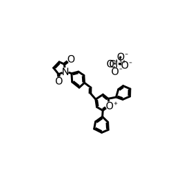 O=C1C=CC(=O)N1c1ccc(/C=C/c2cc(-c3ccccc3)[o+]c(-c3ccccc3)c2)cc1.[O-][Cl+3]([O-])([O-])[O-]